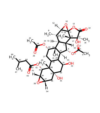 CC(=O)O[C@H]1[C@@H]2[C@H]([C@H](C)[C@H]3O[C@]34OC(=O)[C@@](C)(O)[C@]24C)[C@@]2(C)[C@@H](OC(C)=O)CC3C([C@H]12)[C@@H](O)C[C@@]1(O)C[C@@H]2O[C@@H]2[C@H](OC(=O)CC(C)C)[C@]31C